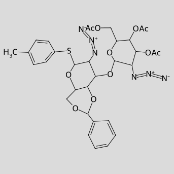 CC(=O)OCC1OC(OC2C(N=[N+]=[N-])C(Sc3ccc(C)cc3)OC3COC(c4ccccc4)OC32)C(N=[N+]=[N-])C(OC(C)=O)C1OC(C)=O